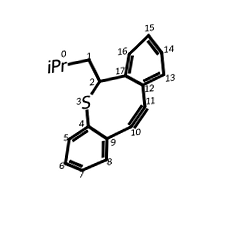 CC(C)CC1Sc2ccccc2C#Cc2ccccc21